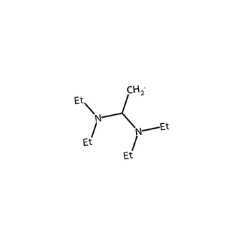 [CH2]C(N(CC)CC)N(CC)CC